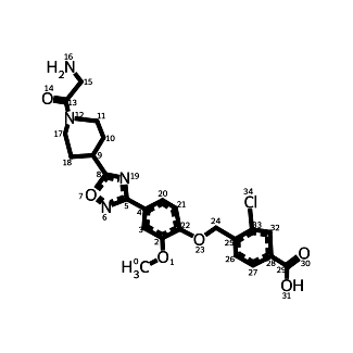 COc1cc(-c2noc(C3CCN(C(=O)CN)CC3)n2)ccc1OCc1ccc(C(=O)O)cc1Cl